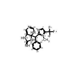 Cn1c(C(F)(F)F)cnc1C(c1ccccc1)C12NC=NC=C1NC(=N)N2